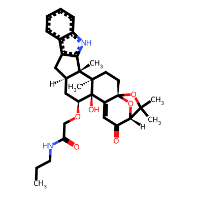 CCCNC(=O)CO[C@H]1C[C@H]2Cc3c([nH]c4ccccc34)[C@]2(C)[C@@]2(C)CC[C@@]34O[C@@H](C(=O)C=C3[C@]12O)C(C)(C)O4